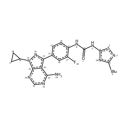 CC(C)(C)c1nsc(NC(=O)Nc2ccc(-c3nn(C4CC4)c4ncnc(N)c34)cc2F)n1